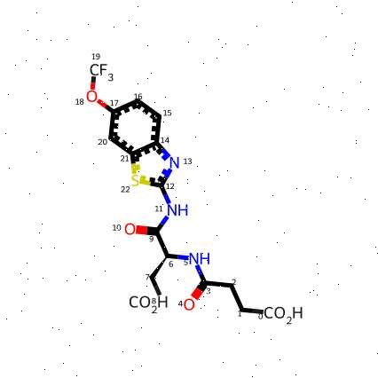 O=C(O)CCC(=O)N[C@@H](CC(=O)O)C(=O)Nc1nc2ccc(OC(F)(F)F)cc2s1